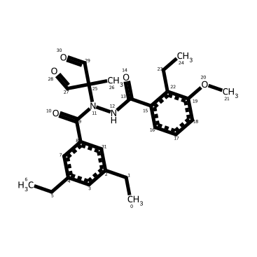 CCc1cc(CC)cc(C(=O)N(NC(=O)c2cccc(OC)c2CC)C(C)(C=O)C=O)c1